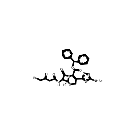 CC(=O)Nc1nnc(C2=C(C(=O)OC(c3ccccc3)c3ccccc3)N3C(=O)C(NC(=O)CC(=O)CBr)[C@@H]3SC2)s1